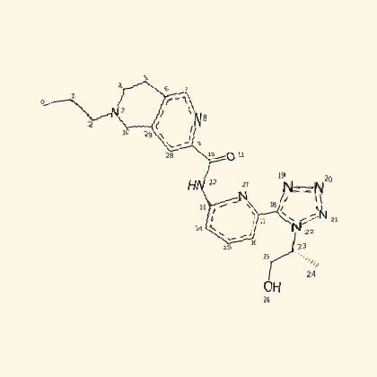 CCCN1CCc2cnc(C(=O)Nc3cccc(-c4nnnn4[C@H](C)CO)n3)cc2C1